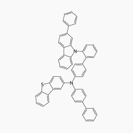 c1ccc(-c2ccc(N(c3ccc(-c4ccccc4-n4c5ccccc5c5ccc(-c6ccccc6)cc54)cc3)c3ccc4sc5ccccc5c4c3)cc2)cc1